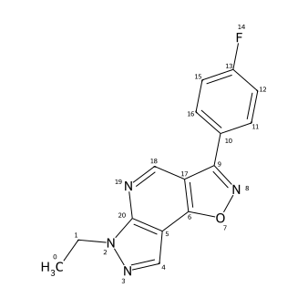 CCn1ncc2c3onc(-c4ccc(F)cc4)c3cnc21